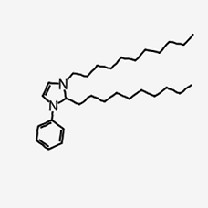 CCCCCCCCCCCN1C=CN(c2ccccc2)C1CCCCCCCCCC